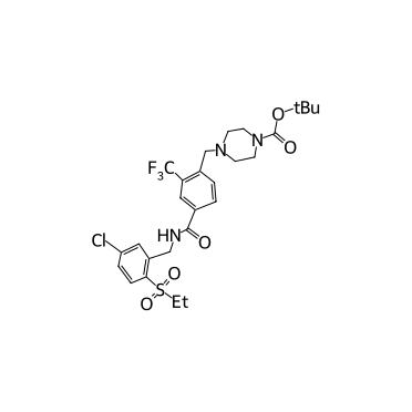 CCS(=O)(=O)c1ccc(Cl)cc1CNC(=O)c1ccc(CN2CCN(C(=O)OC(C)(C)C)CC2)c(C(F)(F)F)c1